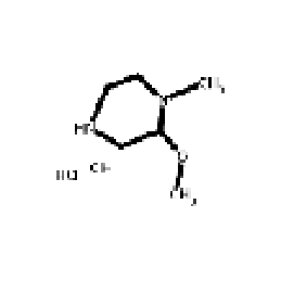 COC1CNCCN1C.Cl.Cl